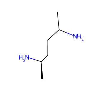 CC(N)CC[C@@H](C)N